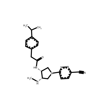 CN[C@H]1CN(c2ccc(C#N)nn2)C[C@H]1NC(=O)Cc1ccc(C(C)C)cc1